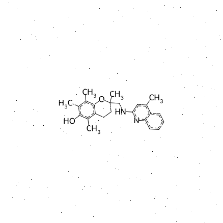 Cc1c(C)c2c(c(C)c1O)CCC(C)(CNc1cc(C)c3ccccc3n1)O2